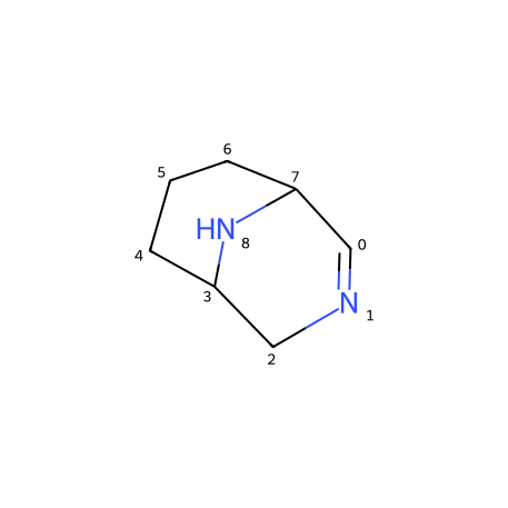 C1=NCC2CCCC1N2